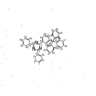 C1=CCCC(c2nc(-c3ccc4c(c3)C3(c5ccccc5-c5ccccc53)c3ccccc3-4)nc(C3C=CC=CC3)n2)=C1